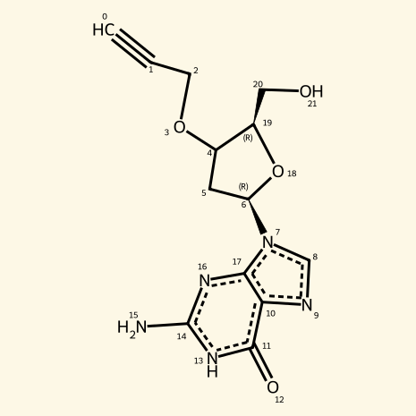 C#CCOC1C[C@H](n2cnc3c(=O)[nH]c(N)nc32)O[C@@H]1CO